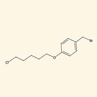 ClCCCCCOc1ccc(CBr)cc1